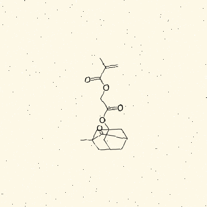 C=C(C)C(=O)OCC(=O)OC12CC3CC(C1)C(=O)C(C)(C3)C2